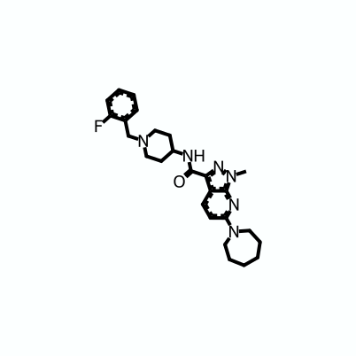 Cn1nc(C(=O)NC2CCN(Cc3ccccc3F)CC2)c2ccc(N3CCCCCC3)nc21